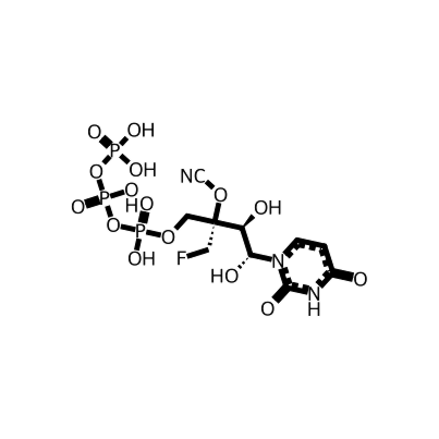 N#CO[C@](CF)(COP(=O)(O)OP(=O)(O)OP(=O)(O)O)[C@@H](O)[C@@H](O)n1ccc(=O)[nH]c1=O